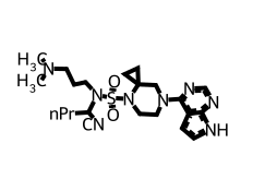 CCCC(C#N)N(CCCN(C)C)S(=O)(=O)N1CCN(c2ncnc3[nH]ccc23)CC12CC2